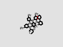 CC(C)c1ccc2c(c1)B1c3cc(C(C)C)ccc3N3c4ccc(C(C)C)cc4B4c5ccccc5Sc5cc(c1c3c54)N2c1c(-c2ccccc2)cccc1C(F)(F)F